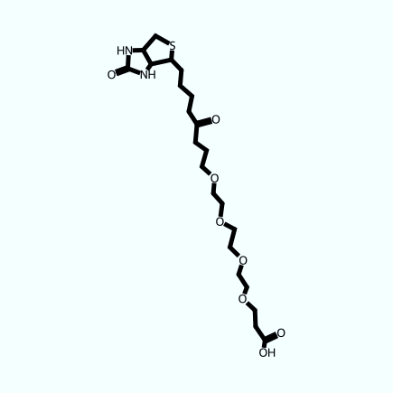 O=C(O)CCOCCOCCOCCOCCCC(=O)CCCCC1SCC2NC(=O)NC21